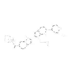 COc1cc(-c2ccc3cc(-c4nn5cc(C(=O)N6CC7CCC6[C@@H]7N)ccc5c4C)n(CC4CC4)c3n2)c(F)cn1